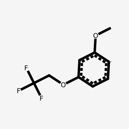 COc1[c]ccc(OCC(F)(F)F)c1